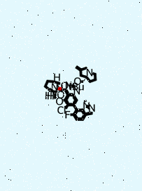 C=C1CN2CCC[C@@]2(COc2nc3c4c(c(Cl)c(-c5c(F)ccc6cnn(C)c56)cc4n2)OC[C@@H]2[C@@H]4CC[C@H](CN32)N4C(=O)OC(C)(C)C)C1